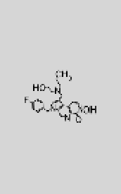 CCCN(CCO)Cc1cn(Cc2ccc(F)cc2)c2cnc3c(=O)n(O)ccc3c12